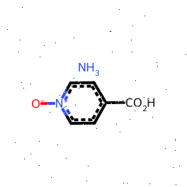 N.O=C(O)c1cc[n+]([O-])cc1